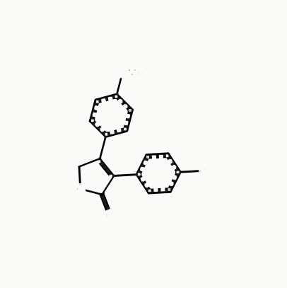 COc1ccc(C2=C(c3ccc(Br)cc3)C(=O)OC2)cc1